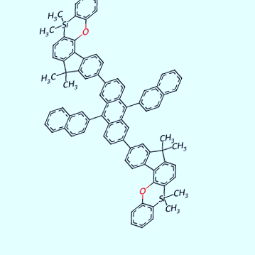 CC1(C)c2cc(-c3ccc4c(-c5ccc6ccccc6c5)c5cc(-c6ccc7c(c6)C(C)(C)c6ccc8c(c6-7)Oc6ccccc6[Si]8(C)C)ccc5c(-c5ccc6ccccc6c5)c4c3)ccc2-c2c1ccc1c2Oc2ccccc2[Si]1(C)C